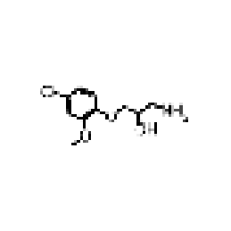 COc1cc(Cl)ccc1OCC(O)CN